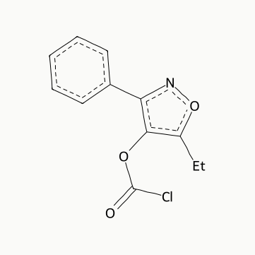 CCc1onc(-c2ccccc2)c1OC(=O)Cl